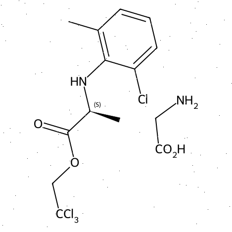 Cc1cccc(Cl)c1N[C@@H](C)C(=O)OCC(Cl)(Cl)Cl.NCC(=O)O